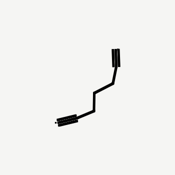 [C]#CCCCC#[C]